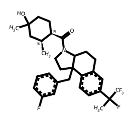 C[C@H]1CC(C)(O)CC[C@H]1C(=O)N1CCC2(Cc3cccc(F)c3)c3ccc(C(C)(F)C(F)(F)F)cc3CCC12